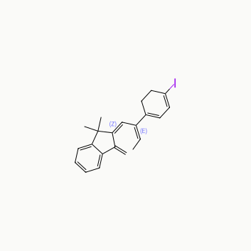 C=C1/C(=C\C(=C/C)C2=CC=C(I)CC2)C(C)(C)c2ccccc21